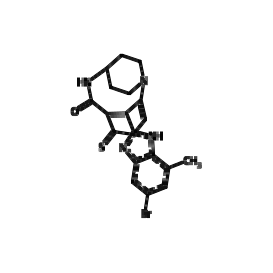 Cc1cc(Br)cc2nc(C3=C4C(=O)NC5CCN(CC5)C3=CCC4=S)[nH]c12